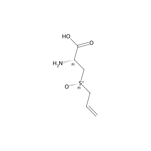 C=CC[S@+]([O-])C[C@H](N)C(=O)O